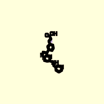 O=C(O)/C=C/c1cccc(-c2cnn3ccc(NCc4cccnc4)nc23)c1